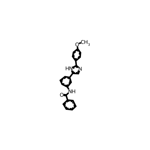 COc1ccc(-c2ncc(-c3cccc(NC(=O)c4ccccc4)c3)[nH]2)cc1